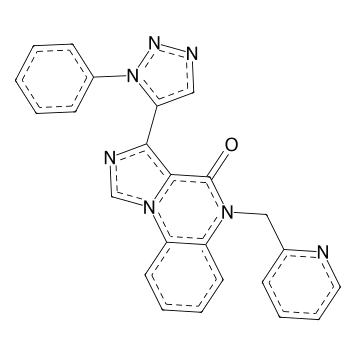 O=c1c2c(-c3cnnn3-c3ccccc3)ncn2c2ccccc2n1Cc1ccccn1